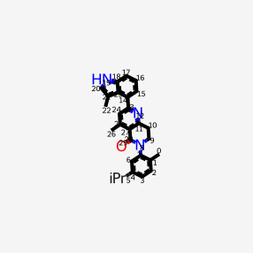 Cc1ccc(C(C)C)cc1N1CCc2nc(-c3cccc4[nH]cc(C)c34)cc(C)c2C1=O